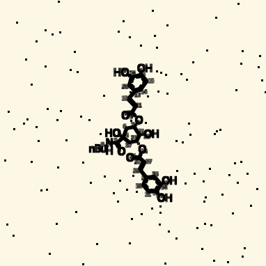 CCCCNC(=O)[C@]1(O)C[C@@H](OC(=O)/C=C/c2ccc(O)c(O)c2)[C@@H](O)[C@H](OC(=O)/C=C/c2ccc(O)c(O)c2)C1